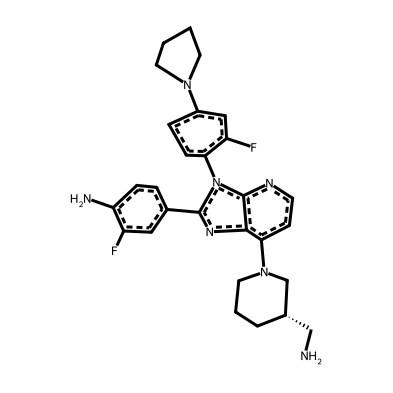 NC[C@@H]1CCCN(c2ccnc3c2nc(-c2ccc(N)c(F)c2)n3-c2ccc(N3CCCC3)cc2F)C1